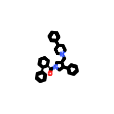 O=C([C@H]1CCC=C[C@@H]1c1ccccc1)N1CC(CN2CCC(c3ccccc3)CC2)C(c2ccccc2)C1